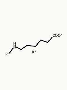 CC(C)NCCCCCC(=O)[O-].[K+]